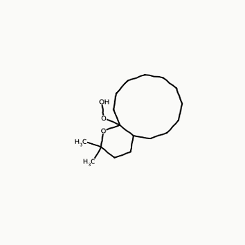 CC1(C)CCC2CCCCCCCCCCC2(OO)O1